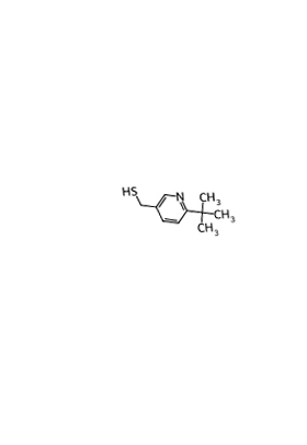 CC(C)(C)c1ccc(CS)cn1